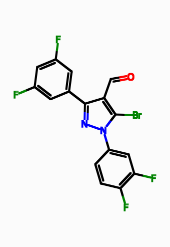 O=Cc1c(-c2cc(F)cc(F)c2)nn(-c2ccc(F)c(F)c2)c1Br